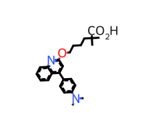 CN(C)c1ccc(-c2cc(OCCCCC(C)(C)C(=O)O)nc3ccccc23)cc1